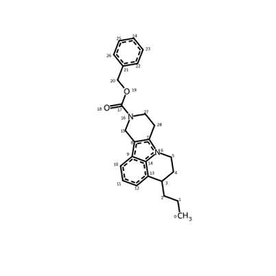 CCCC1CCn2c3c(c4cccc1c42)CN(C(=O)OCc1ccccc1)CC3